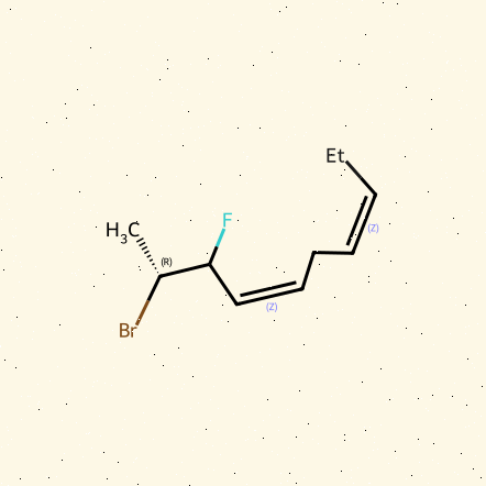 CC/C=C\C/C=C\C(F)[C@@H](C)Br